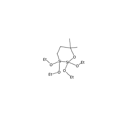 CCO[Si]1(OCC)CCC(C)(C)O[Si]1(OCC)OCC